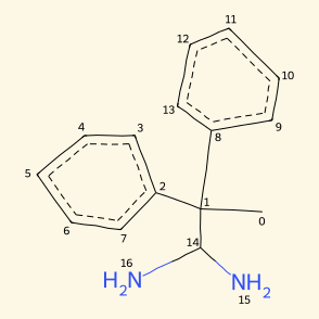 CC(c1ccccc1)(c1ccccc1)C(N)N